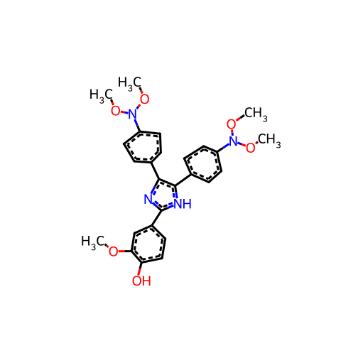 COc1cc(-c2nc(-c3ccc(N(OC)OC)cc3)c(-c3ccc(N(OC)OC)cc3)[nH]2)ccc1O